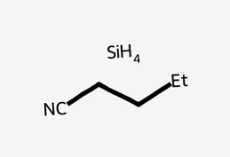 CCCCC#N.[SiH4]